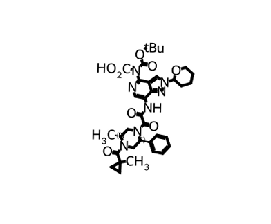 C[C@@H]1CN(C(=O)C(=O)Nc2cnc(N(C(=O)O)C(=O)OC(C)(C)C)c3cn(C4CCCCO4)nc23)[C@@H](c2ccccc2)CN1C(=O)C1(C)CC1